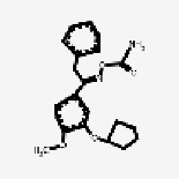 COc1ccc(/C(Cc2ccccc2)=N/OC(N)=O)cc1OC1CCCC1